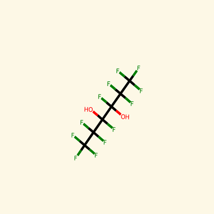 OC(F)(C(O)(F)C(F)(F)C(F)(F)F)C(F)(F)C(F)(F)F